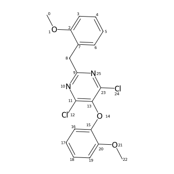 COc1ccccc1Cc1nc(Cl)c(Oc2ccccc2OC)c(Cl)n1